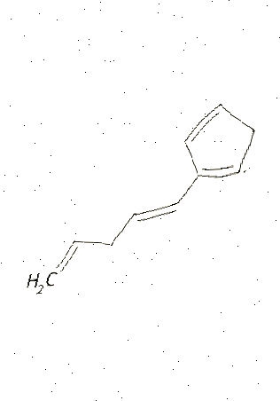 C=CCC=CC1=[C]CC=C1